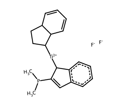 CP(C)C1=Cc2ccccc2[CH]1[Ti+2][CH]1CCC2C=CC=CC21.[F-].[F-]